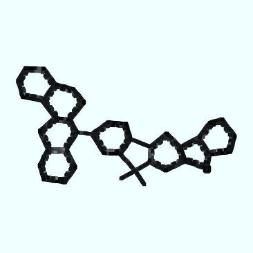 CC1(C)c2cc(-c3c4ccccc4cc4c3ccc3ccccc34)ccc2-c2cc3c(cc21)oc1ccccc13